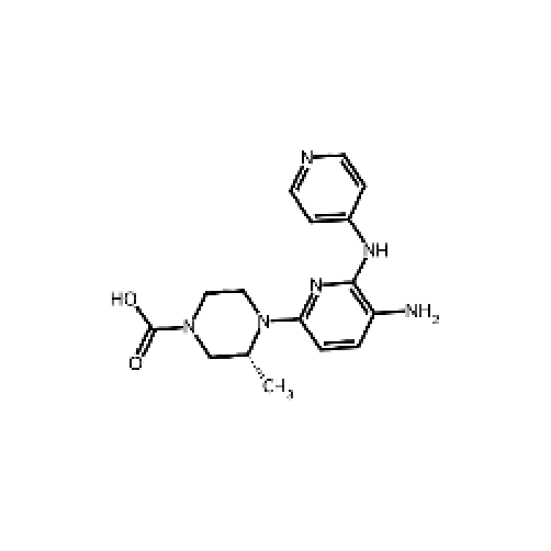 C[C@@H]1CN(C(=O)O)CCN1c1ccc(N)c(Nc2ccncc2)n1